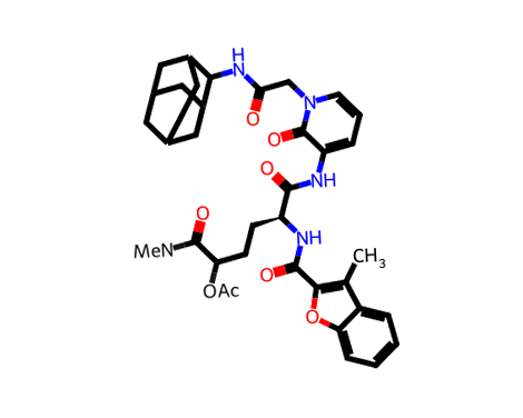 CNC(=O)C(CC[C@H](NC(=O)c1oc2ccccc2c1C)C(=O)Nc1cccn(CC(=O)NC2C3CC4CC(C3)CC2C4)c1=O)OC(C)=O